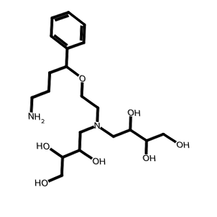 NCCCC(OCCN(CC(O)C(O)CO)CC(O)C(O)CO)c1ccccc1